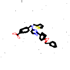 O=C(O)c1ccc(CN(Cc2cccs2)c2ccnc(-c3ccc(OCc4ccccc4)cc3)n2)cc1